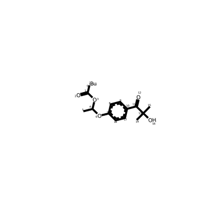 CCC(C)C(=O)OC(C)Oc1ccc(C(=O)C(C)(C)O)cc1